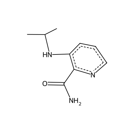 CC(C)Nc1cccnc1C(N)=O